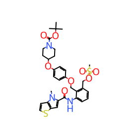 Cn1c(C(=O)Nc2cccc(COS(C)(=O)=O)c2COc2ccc(OC3CCN(C(=O)OC(C)(C)C)CC3)cc2)cc2sccc21